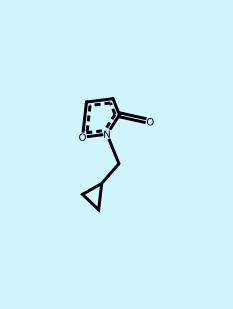 O=c1ccon1CC1CC1